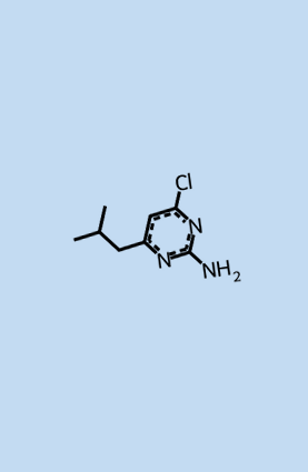 CC(C)Cc1cc(Cl)nc(N)n1